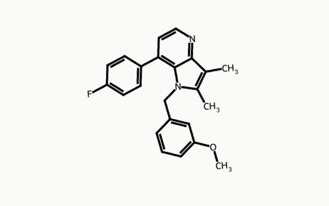 COc1cccc(Cn2c(C)c(C)c3nccc(-c4ccc(F)cc4)c32)c1